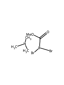 CN(C)C.COC(=O)B(Br)Br